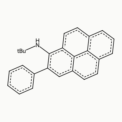 CC(C)(C)Nc1c(-c2ccccc2)cc2ccc3cccc4ccc1c2c34